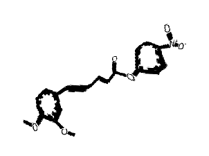 COc1ccc(/C=C/C=C/C(=O)Oc2ccc([N+](=O)[O-])cc2)cc1OC